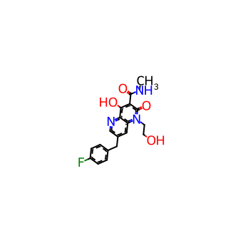 CNC(=O)c1c(O)c2ncc(Cc3ccc(F)cc3)cc2n(CCO)c1=O